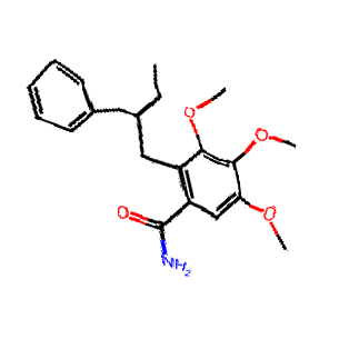 CCC(Cc1c(C(N)=O)cc(OC)c(OC)c1OC)c1ccccc1